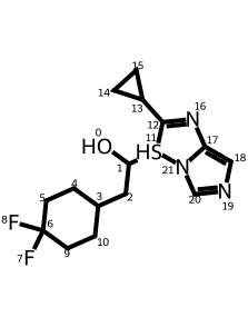 OC(CC1CCC(F)(F)CC1)[SH]1C(C2CC2)=Nc2cncn21